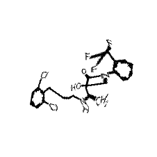 C=C(NCCCc1c(Cl)cccc1Cl)C1(O)CN(c2ccccc2C(F)(F)F)C1=O